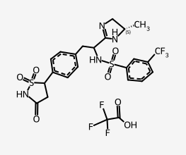 C[C@H]1CN=C(C(Cc2ccc(C3CC(=O)NS3(=O)=O)cc2)NS(=O)(=O)c2cccc(C(F)(F)F)c2)N1.O=C(O)C(F)(F)F